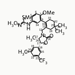 C/N=C(/Nc1ccc(OC)c(C2=C(CN3C(=O)O[C@H](c4cc(C)cc(C(F)(F)F)c4)[C@@H]3C)CC(C)(C)CC2)c1)SC